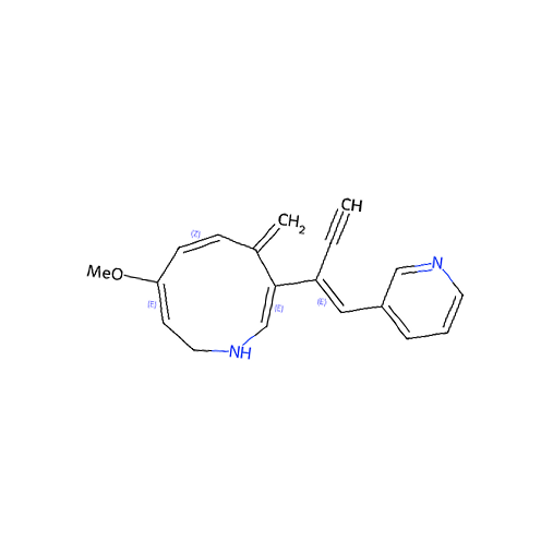 C#CC(=C\c1cccnc1)/C1=C/NC/C=C(OC)\C=C/C1=C